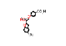 CC(C)(C)c1ccc2oc(C(O)COc3ccc(C(=O)O)cc3)cc2c1.[NaH]